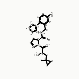 CC1(C[C@@H](O)C(=O)N2N=CC[C@H]2C(=O)NCc2cc(Cl)ccc2-n2cnnn2)CC1